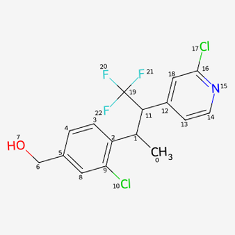 CC(c1ccc(CO)cc1Cl)C(c1ccnc(Cl)c1)C(F)(F)F